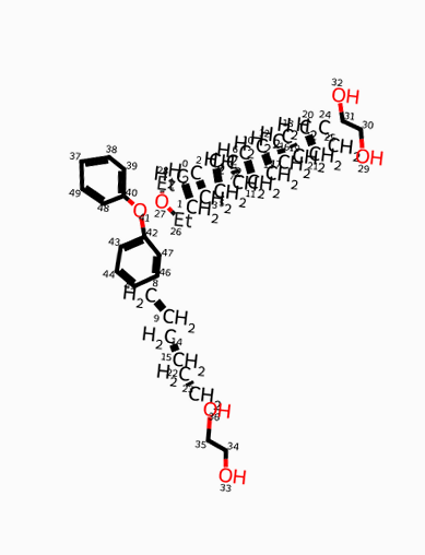 C=C.C=C.C=C.C=C.C=C.C=C.C=C.C=C.C=C.C=C.C=C.C=C.C=C.CCOCC.OCCO.OCCO.c1ccc(Oc2ccccc2)cc1